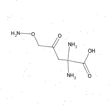 NOCC(=O)CC(N)(N)C(=O)O